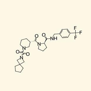 O=C(NCc1ccc(C(F)(F)F)cc1)[C@H]1CCCN1C(=O)[C@H]1CCCN(S(=O)(=O)N2CC3(CCCC3)C2)C1